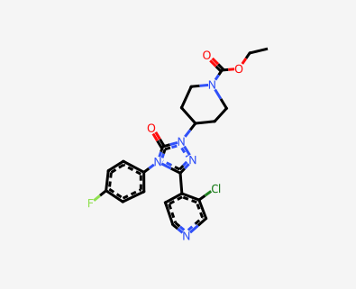 CCOC(=O)N1CCC(n2nc(-c3ccncc3Cl)n(-c3ccc(F)cc3)c2=O)CC1